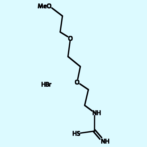 Br.COCCOCCOCCNC(=N)S